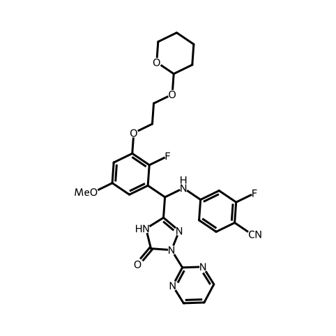 COc1cc(OCCOC2CCCCO2)c(F)c(C(Nc2ccc(C#N)c(F)c2)c2nn(-c3ncccn3)c(=O)[nH]2)c1